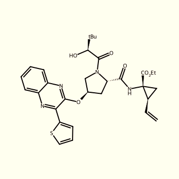 C=C[C@@H]1C[C@]1(NC(=O)[C@@H]1C[C@@H](Oc2nc3ccccc3nc2-c2cccs2)CN1C(=O)[C@@H](O)C(C)(C)C)C(=O)OCC